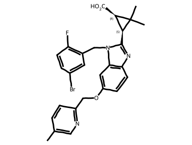 Cc1ccc(COc2ccc3nc([C@H]4[C@@H](C(=O)O)C4(C)C)n(Cc4cc(Br)ccc4F)c3c2)nc1